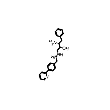 N[C@@H](Cc1ccccc1)[C@@H](O)CNNCc1ccc(-c2ccccn2)cc1